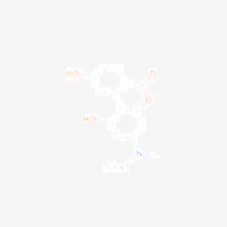 CCCCCCCN(C)c1cc(O)c2c(c1)oc(=O)c1ccc(O)cc12